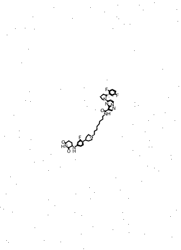 O=C1CCC(Nc2ccc(C3CCN(CCCCCCCCNC(=O)c4cnn5ccc(N6CCC[C@@H]6c6cc(F)ccc6F)nc45)CC3)c(F)c2)C(=O)N1